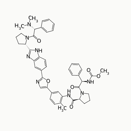 COC(=O)N[C@@H](C(=O)N1CCC[C@H]1C(=O)Nc1cc(-c2cnc(-c3ccc4[nH]c([C@@H]5CCCN5C(=O)[C@@H](c5ccccc5)N(C)C)nc4c3)o2)ccc1C)c1ccccc1